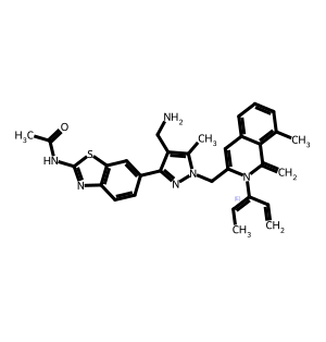 C=C/C(=C\C)N1C(=C)c2c(C)cccc2C=C1Cn1nc(-c2ccc3nc(NC(C)=O)sc3c2)c(CN)c1C